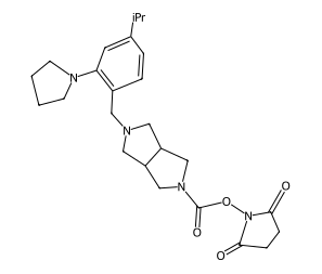 CC(C)c1ccc(CN2CC3CN(C(=O)ON4C(=O)CCC4=O)CC3C2)c(N2CCCC2)c1